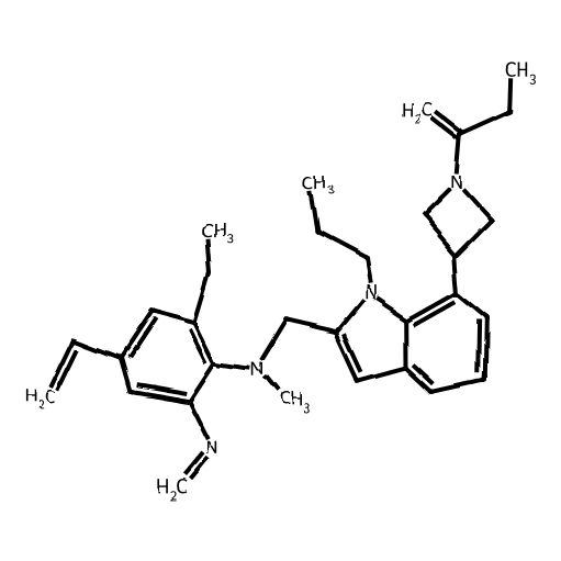 C=Cc1cc(CC)c(N(C)Cc2cc3cccc(C4CN(C(=C)CC)C4)c3n2CCC)c(N=C)c1